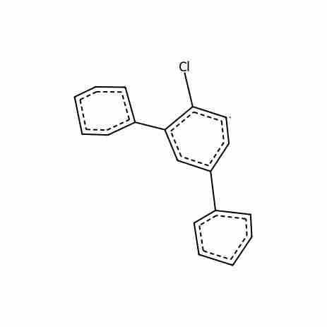 Clc1[c]cc(-c2ccccc2)cc1-c1ccccc1